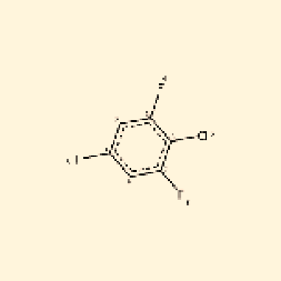 Fc1cc(F)c(Cl)c(F)c1